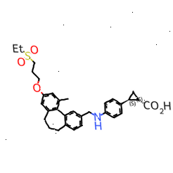 CCS(=O)(=O)CCCOc1cc(C)c2c(c1)CCCc1ccc(CNc3ccc([C@H]4C[C@@H]4C(=O)O)cc3)cc1-2